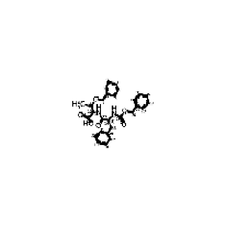 C[C@@H](OCc1ccccc1)[C@H](NC(=O)[C@H](Cc1ccccc1)NC(=O)OCc1ccccc1)C(=O)O